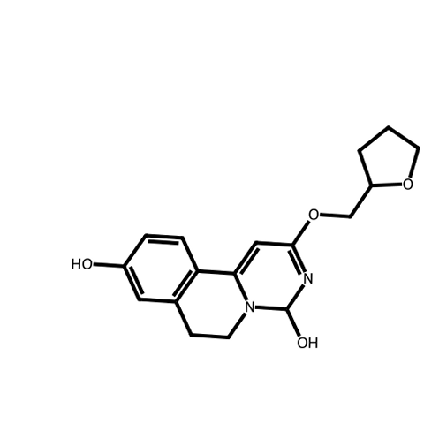 Oc1ccc2c(c1)CCN1C2=CC(OCC2CCCO2)=NC1O